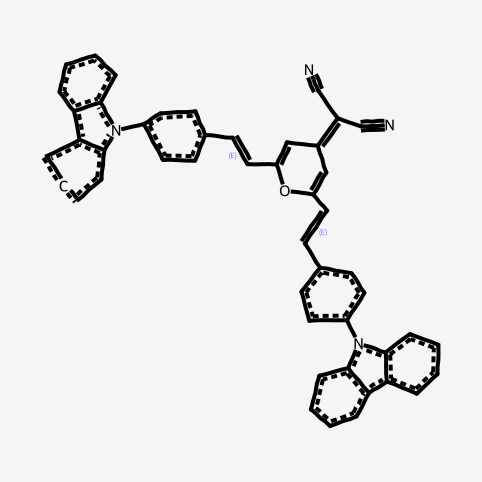 N#CC(C#N)=C1C=C(/C=C/c2ccc(-n3c4ccccc4c4ccccc43)cc2)OC(/C=C/c2ccc(-n3c4ccccc4c4ccccc43)cc2)=C1